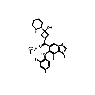 CC(=O)O.Cn1cnc2cc(C(=O)N3CC(O)([C@@H]4CCCCN4)C3)c(Nc3ccc(I)cc3F)c(F)c21